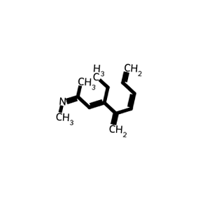 C=C/C=C\C(=C)/C(=C/C(C)=N\C)CC